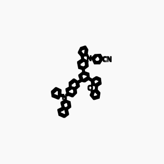 N#Cc1ccc(-n2c3ccccc3c3ccc(-c4cc(-c5ccc6cc(N(c7ccccc7)c7ccc8ccccc8c7)ccc6c5)cc(-c5cccc6c5oc5ccccc56)c4)cc32)cc1